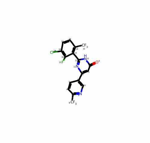 O=c1cc(-c2ccc(C(F)(F)F)nc2)nc(-c2c(C(F)(F)F)ccc(Cl)c2F)[nH]1